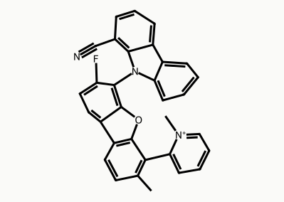 Cc1ccc2c(oc3c(-n4c5ccccc5c5cccc(C#N)c54)c(F)ccc32)c1-c1cccc[n+]1C